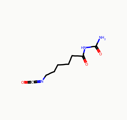 NC(=O)NC(=O)CCCCCN=C=O